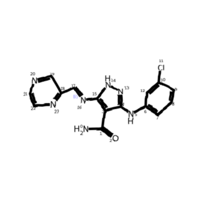 NC(=O)c1c(Nc2cccc(Cl)c2)n[nH]c1/N=C/c1cnccn1